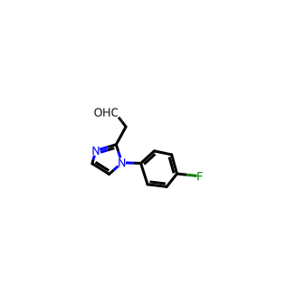 O=CCc1nccn1-c1ccc(F)cc1